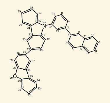 c1cc(-c2ccc3ccccc3c2)cc(-n2c3ccccc3c3cc(-c4ccc5oc6ccccc6c5c4)ccc32)c1